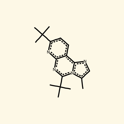 Cc1cnc2c3ccc(C(C)(C)C)nc3nc(C(C)(C)C)n12